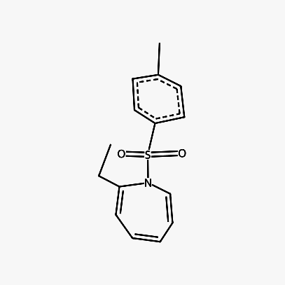 CCC1=CC=CC=CN1S(=O)(=O)c1ccc(C)cc1